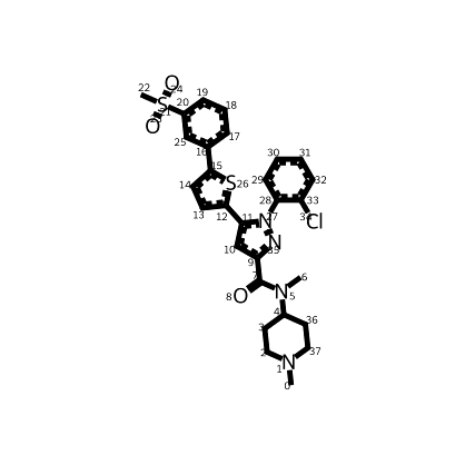 CN1CCC(N(C)C(=O)c2cc(-c3ccc(-c4cccc(S(C)(=O)=O)c4)s3)n(-c3ccccc3Cl)n2)CC1